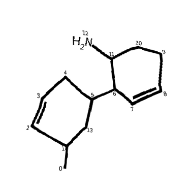 CC1C=CCC(C2C=CCCC2N)C1